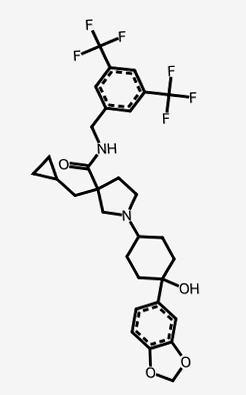 O=C(NCc1cc(C(F)(F)F)cc(C(F)(F)F)c1)C1(CC2CC2)CCN(C2CCC(O)(c3ccc4c(c3)OCO4)CC2)C1